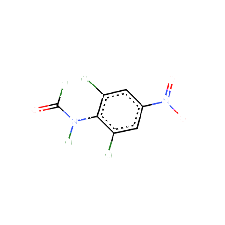 O=C(Cl)N(Cl)c1c(Cl)cc([N+](=O)[O-])cc1Cl